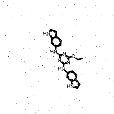 CCOc1nc(Nc2ccc3cc[nH]c3c2)nc(Nc2ccc3cc[nH]c3c2)n1